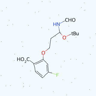 CC(C)(C)OC(CCOc1cc(F)ccc1C(=O)O)NC=O